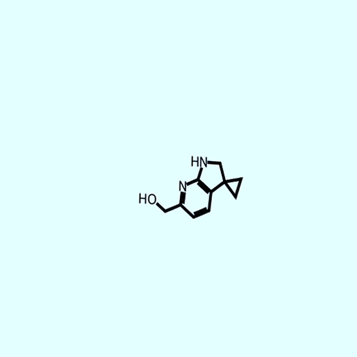 OCc1ccc2c(n1)NCC21CC1